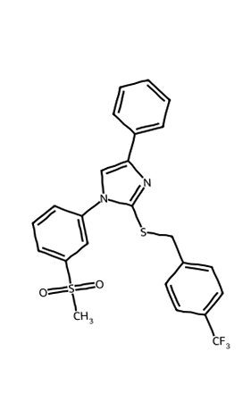 CS(=O)(=O)c1cccc(-n2cc(-c3ccccc3)nc2SCc2ccc(C(F)(F)F)cc2)c1